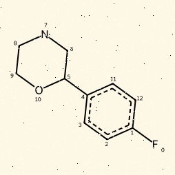 Fc1ccc(C2C[N]CCO2)cc1